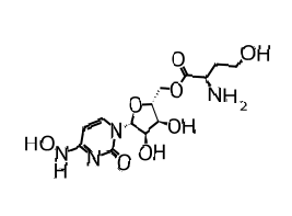 N[C@H](CCO)C(=O)OC[C@H]1O[C@@H](n2ccc(NO)nc2=O)[C@H](O)[C@@H]1O